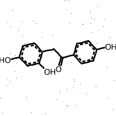 O=C(Cc1ccc(O)cc1O)c1ccc(O)cc1